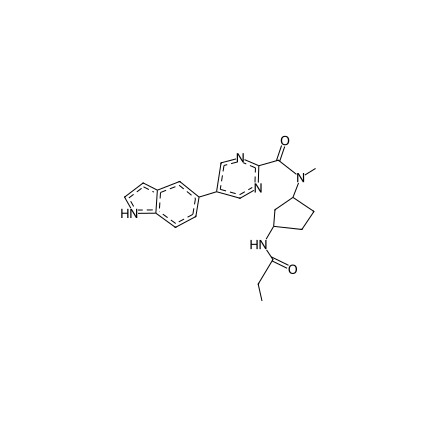 CCC(=O)NC1CCC(N(C)C(=O)c2ncc(-c3ccc4[nH]ccc4c3)cn2)C1